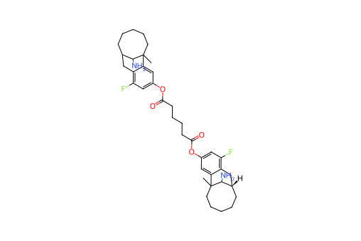 CC12CCCCCC(Cc3c(F)cc(OC(=O)CCCCC(=O)Oc4cc(F)c5c(c4)C4(C)CCCCC[C@@H](C5)C4N)cc31)C2N